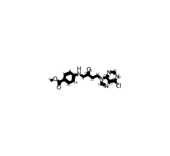 COC(=O)c1ccc(NCC(=O)CCn2cnc3c(Cl)ncnc32)cc1